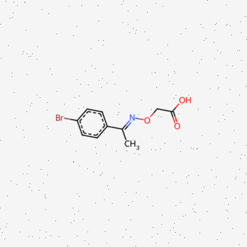 CC(=NOCC(=O)O)c1ccc(Br)cc1